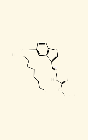 CCCCCNC(=N)N/N=C/c1c[nH]c2ccc(OC)cc12.O=C(O)CCCCCCC(=O)O